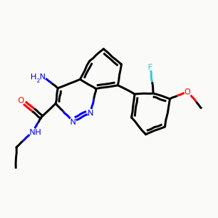 CCNC(=O)c1nnc2c(-c3cccc(OC)c3F)cccc2c1N